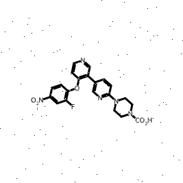 O=C(O)N1CCN(c2ccc(-c3cnccc3Oc3ccc([N+](=O)[O-])cc3F)cn2)CC1